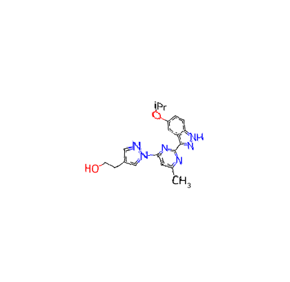 Cc1cc(-n2cc(CCO)cn2)nc(-c2n[nH]c3ccc(OC(C)C)cc23)n1